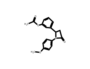 COc1ccc(N2C(=O)CC2c2cccc(OC(C)=O)c2)cc1